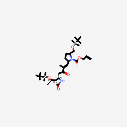 C=CCOC(=O)N1C(C=C(C)C(=O)C[C@H]2NC(=O)[C@@H]2[C@@H](C)O[Si](C)(C)C(C)(C)C)CCC1CO[Si](C)(C)C(C)(C)C